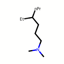 CCCC(CC)CCCN(C)C